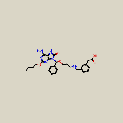 CCCCOc1nc(N)c2[nH]c(=O)n(C(OCCCNCc3cccc(CC(=O)O)c3)c3ccccc3)c2n1